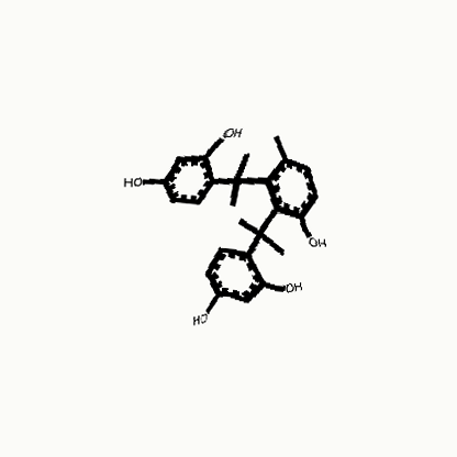 Cc1ccc(O)c(C(C)(C)c2ccc(O)cc2O)c1C(C)(C)c1ccc(O)cc1O